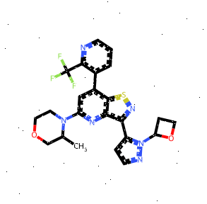 CC1COCCN1c1cc(-c2cccnc2C(F)(F)F)c2snc(-c3ccnn3C3CCO3)c2n1